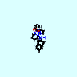 CC(C)(C)OC(=O)N1CCCCC1(Nc1ccc2ccccc2c1)n1cccn1